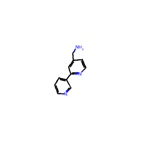 NCc1ccnc(-c2cccnc2)c1